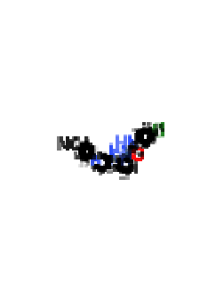 N#Cc1ccc(N2CCC[C@H](N[C@@H]3CCCC[C@H]3NC(=O)Nc3ccc(Cl)cc3)C2)cc1